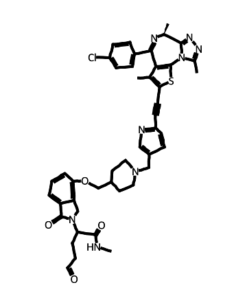 CNC(=O)C(CCC=O)N1Cc2c(OCC3CCN(Cc4ccc(C#Cc5sc6c(c5C)C(c5ccc(Cl)cc5)=N[C@@H](C)c5nnc(C)n5-6)nc4)CC3)cccc2C1=O